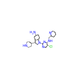 Nc1ccc2c(c1)c(C1=CCNCC1)cn2-c1ncc(Cl)c(NCc2ccccn2)n1